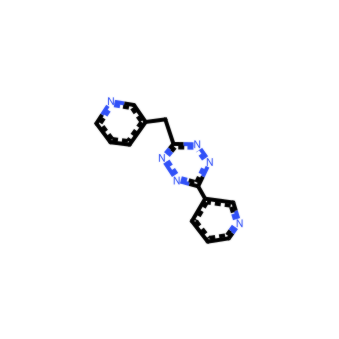 c1cncc(Cc2nnc(-c3cccnc3)nn2)c1